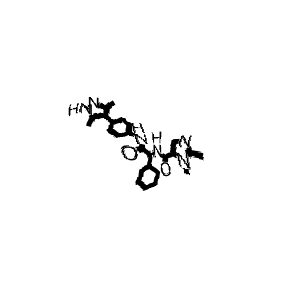 Cc1n[nH]c(C)c1-c1ccc(NC(=O)[C@@H](NC(=O)c2cnc(C)n2C)C2CCCCC2)cc1